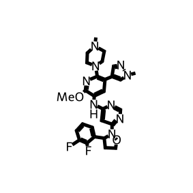 COc1nc(N2CCN(C)CC2)c(-c2cnn(C)c2)cc1Nc1cc(N2OCCC2c2cccc(F)c2F)ncn1